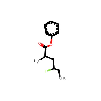 CC(CC(F)CC=O)C(=O)Oc1ccccc1